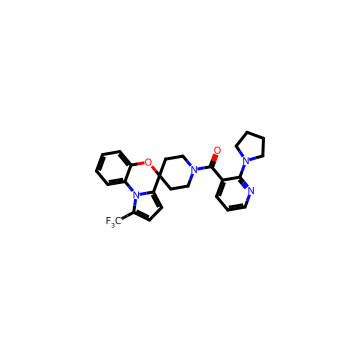 O=C(c1cccnc1N1CCCC1)N1CCC2(CC1)Oc1ccccc1-n1c(C(F)(F)F)ccc12